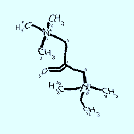 C[N+](C)(C)CC(=O)C[N+](C)(C)C